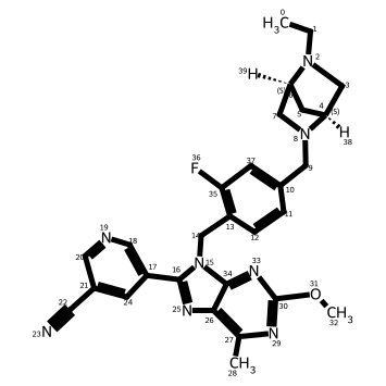 CCN1C[C@@H]2C[C@H]1CN2Cc1ccc(Cn2c(-c3cncc(C#N)c3)nc3c(C)nc(OC)nc32)c(F)c1